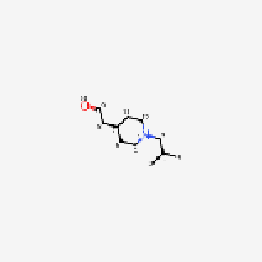 CC(C)CN1CCC(CC=O)CC1